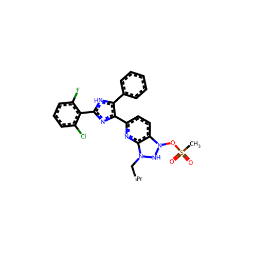 CC(C)CN1NN(OS(C)(=O)=O)c2ccc(-c3nc(-c4c(F)cccc4Cl)[nH]c3-c3ccccc3)nc21